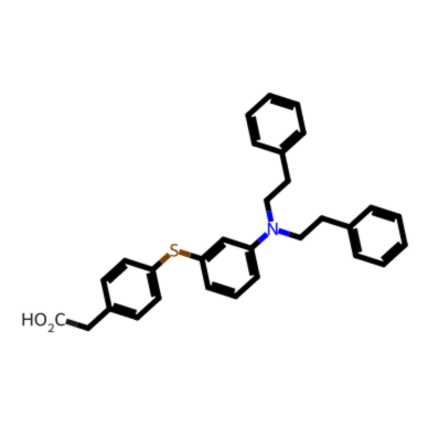 O=C(O)Cc1ccc(Sc2cccc(N(CCc3ccccc3)CCc3ccccc3)c2)cc1